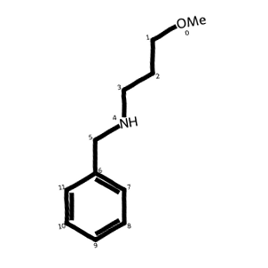 COCCCNCc1ccccc1